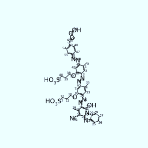 Cc1cc(N=Nc2cc(OCCCS(=O)(=O)O)c(N=Nc3c(C)c(C#N)c4nc5ccccc5n4c3O)cc2C)c(OCCCS(=O)(=O)O)cc1N=Nc1ccc(SOOO)cc1